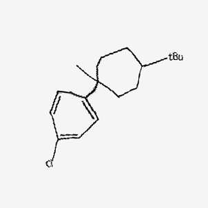 CC1(c2ccc(Cl)cc2)CCC(C(C)(C)C)CC1